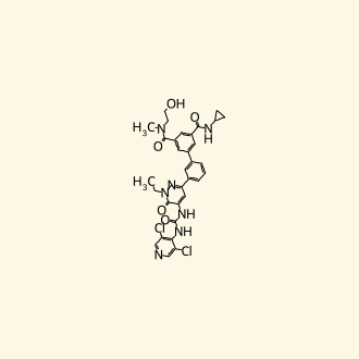 CCn1nc(-c2cccc(-c3cc(C(=O)NC4CC4)cc(C(=O)N(C)CCO)c3)c2)cc(NC(=O)Nc2c(Cl)cncc2Cl)c1=O